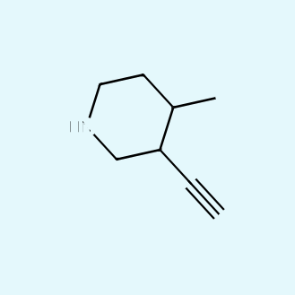 C#CC1CNCCC1C